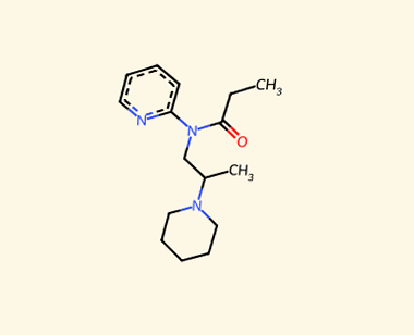 CCC(=O)N(CC(C)N1CCCCC1)c1ccccn1